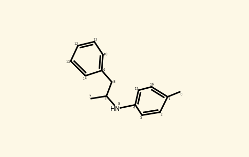 Cc1ccc(NC(C)Cc2ccccc2)cc1